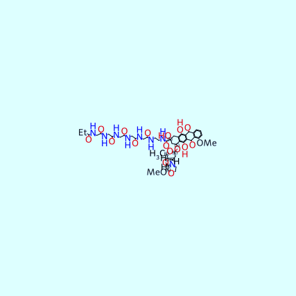 CCC(=O)NCC(=O)NCC(=O)NCC(=O)NCC(=O)NCC(=O)NCCNC(=O)[C@]1(O)Cc2c(O)c3c(c(O)c2[C@@H](O[C@H]2C[C@H]4[C@H](O[C@@H]5[C@@H](OC)OCCN54)[C@H](C)O2)C1)C(=O)c1c(OC)cccc1C3=O